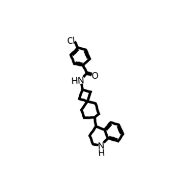 O=C(NC1CC2(CCC(C3CCNc4ccccc43)CC2)C1)c1ccc(Cl)cc1